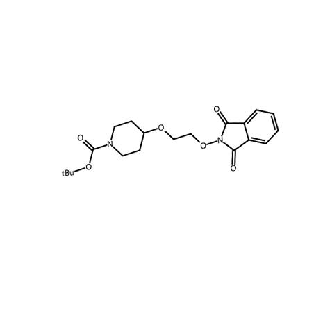 CC(C)(C)OC(=O)N1CCC(OCCON2C(=O)c3ccccc3C2=O)CC1